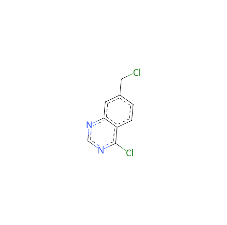 ClCc1ccc2c(Cl)ncnc2c1